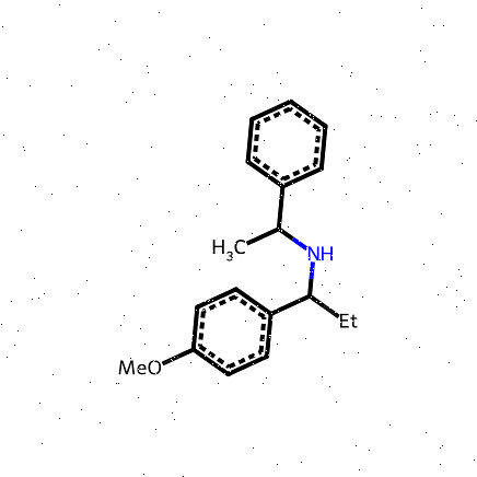 CCC(NC(C)c1ccccc1)c1ccc(OC)cc1